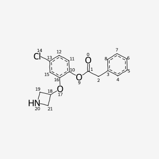 O=C(Cc1ccccc1)Oc1ccc(Cl)cc1OC1CNC1